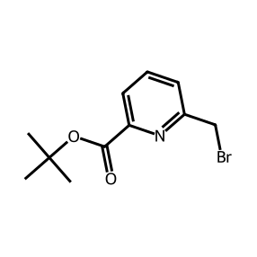 CC(C)(C)OC(=O)c1cccc(CBr)n1